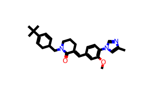 COc1cc(/C=C2\CCCN(CC3C=CC(C(C)(C)C)=CC3)C2=O)ccc1-n1cnc(C)c1